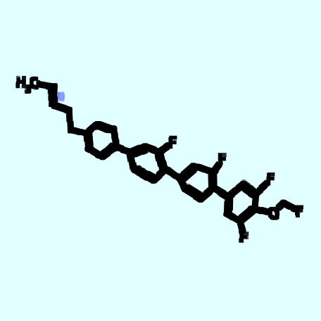 C/C=C/CCc1ccc(-c2ccc(-c3ccc(-c4cc(F)c(OCF)c(F)c4)c(F)c3)c(F)c2)cc1